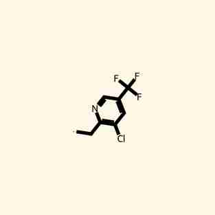 [CH2]Cc1ncc(C(F)(F)F)cc1Cl